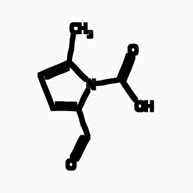 Cc1ccc(C=O)n1C(=O)O